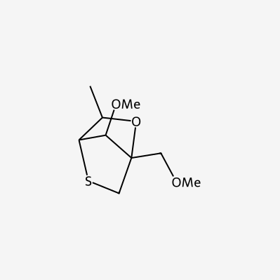 COCC12CSC(C(C)O1)C2OC